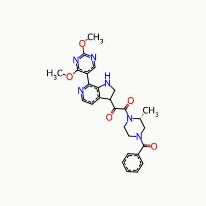 COc1ncc(-c2nccc3c2NCC3C(=O)C(=O)N2CCN(C(=O)c3ccccc3)C[C@H]2C)c(OC)n1